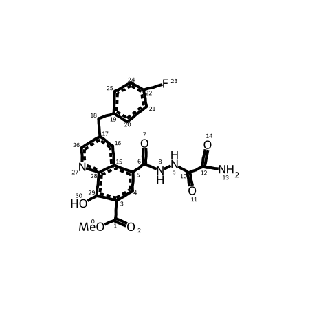 COC(=O)c1cc(C(=O)NNC(=O)C(N)=O)c2cc(Cc3ccc(F)cc3)cnc2c1O